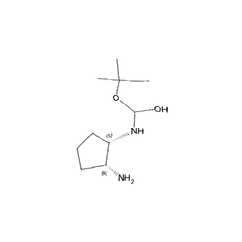 CC(C)(C)OC(O)N[C@H]1CCC[C@H]1N